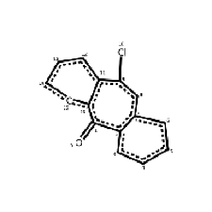 O=c1c2ccccc2cc(Cl)c2ccccc12